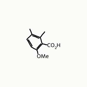 COc1ccc(C)c(C)c1C(=O)O